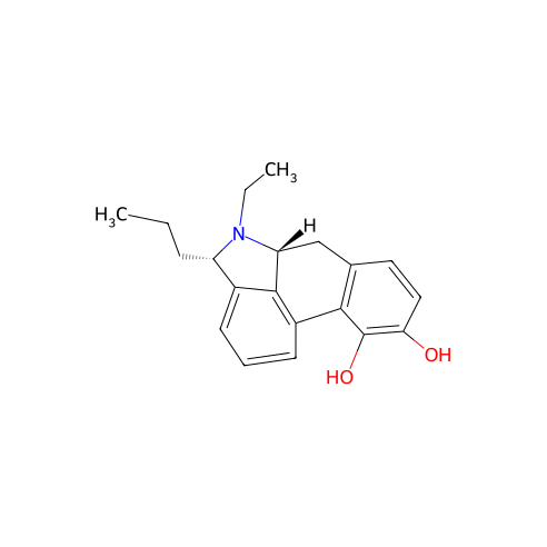 CCC[C@H]1c2cccc3c2[C@@H](Cc2ccc(O)c(O)c2-3)N1CC